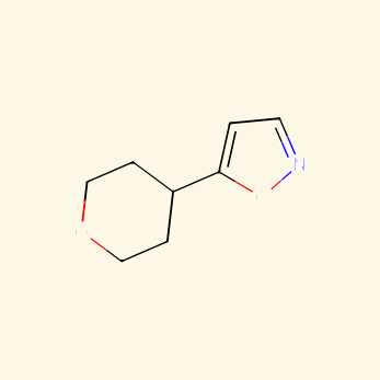 c1cc(C2CCOCC2)on1